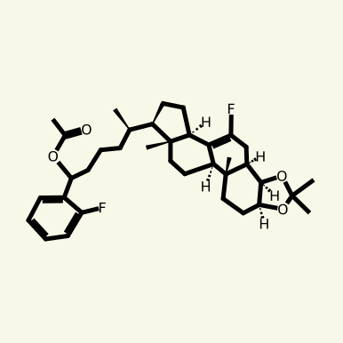 CC(=O)OC(CCC[C@@H](C)[C@H]1CC[C@H]2C3=C(F)C[C@H]4[C@H]5OC(C)(C)O[C@H]5CC[C@]4(C)[C@H]3CC[C@]12C)c1ccccc1F